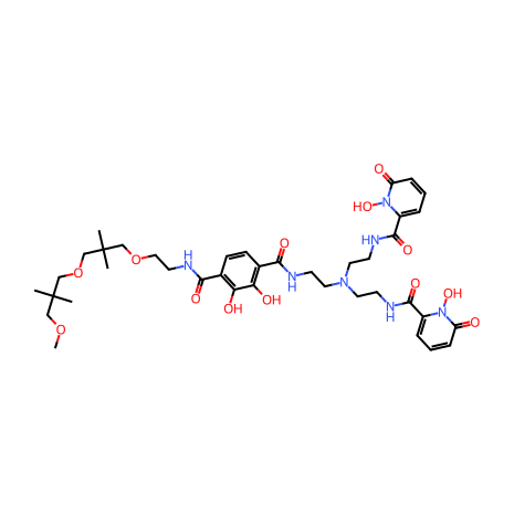 COCC(C)(C)COCC(C)(C)COCCNC(=O)c1ccc(C(=O)NCCN(CCNC(=O)c2cccc(=O)n2O)CCNC(=O)c2cccc(=O)n2O)c(O)c1O